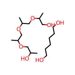 CC(O)COC(C)COC(C)COC(C)CO.OCCCCCCO